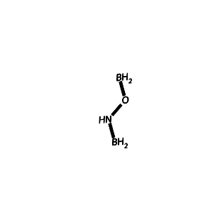 BNOB